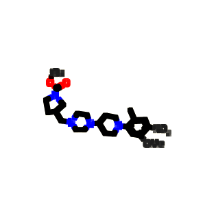 COc1cc(N2CCC(N3CCN(CC4CCN(C(=O)OC(C)(C)C)C4)CC3)CC2)c(C)cc1[N+](=O)[O-]